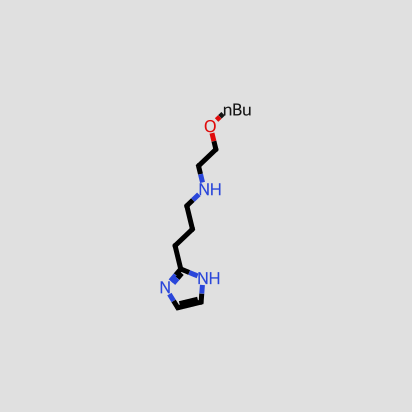 CCCCOCCNCCCc1ncc[nH]1